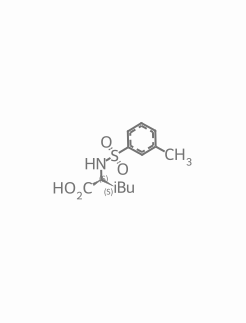 CC[C@H](C)[C@H](NS(=O)(=O)c1cccc(C)c1)C(=O)O